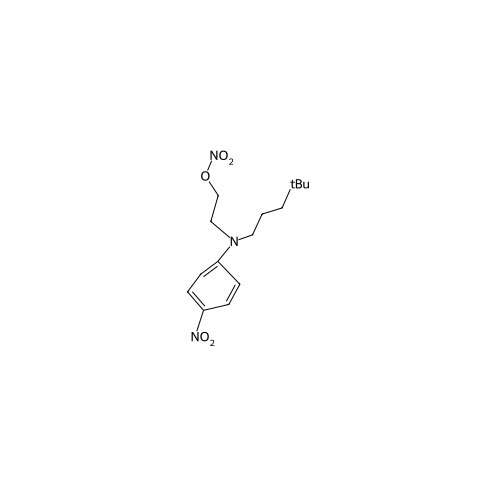 CC(C)(C)CCCN(CCO[N+](=O)[O-])c1ccc([N+](=O)[O-])cc1